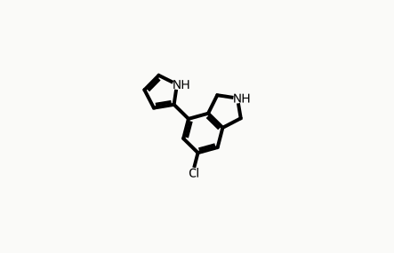 Clc1cc2c(c(-c3ccc[nH]3)c1)CNC2